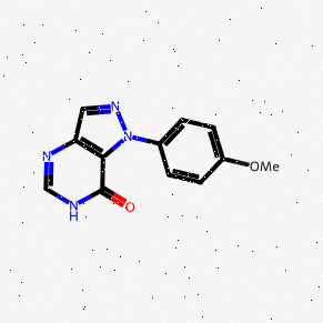 COc1ccc(-n2ncc3nc[nH]c(=O)c32)cc1